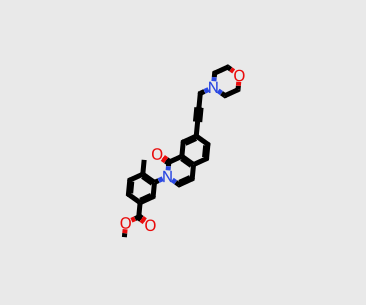 COC(=O)c1ccc(C)c(-n2ccc3ccc(C#CCN4CCOCC4)cc3c2=O)c1